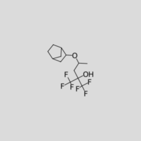 CC(CC(O)(C(F)(F)F)C(F)(F)F)OC1CC2CCC1C2